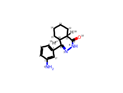 Nc1cccc(C2=NNC(=O)[C@H]3CCCC[C@H]23)c1